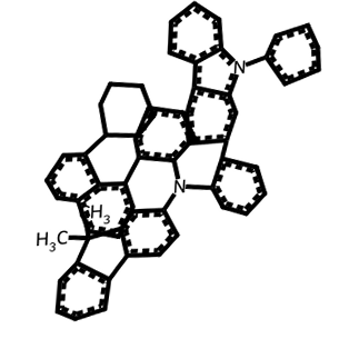 CC1(C)c2ccccc2-c2ccc(N(c3ccccc3-c3ccc4c5ccccc5n(-c5ccccc5)c4c3)c3ccccc3-c3cccc4cccc(C5CCCCC5)c34)cc21